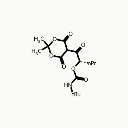 CCC[C@H](OC(=O)NC(C)(C)C)C(=O)C1C(=O)OC(C)(C)OC1=O